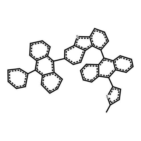 Cc1ccc(-c2c3ccccc3c(-c3cccc4sc5cc(-c6c7ccccc7c(-c7ccccc7)c7ccccc67)ccc5c34)c3ccccc23)s1